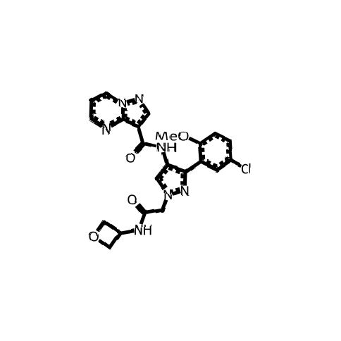 COc1ccc(Cl)cc1-c1nn(CC(=O)NC2COC2)cc1NC(=O)c1cnn2cccnc12